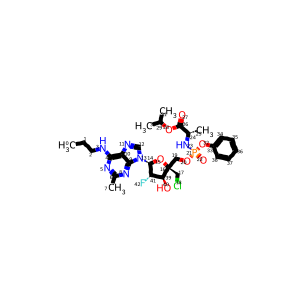 CCCNc1nc(C)nc2c1ncn2[C@@H]1O[C@](CCl)(CO[P@@](=O)(N[C@@H](C)C(=O)OC(C)C)Oc2ccccc2)[C@@H](O)[C@@H]1F